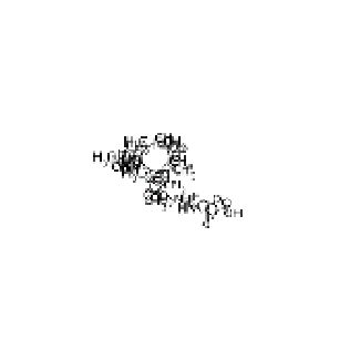 CC[C@H]1OC(=O)[C@H](C)[C@@H](OC2C[C@@](C)(OC)[C@@H](OCCNCCNc3cc4c(cc3F)c(=O)c(C(=O)O)cn4C3CC3)[C@H](C)O2)[C@H](C)[C@@H](O[C@@H]2O[C@H](C)C[C@H](N(C)C)[C@H]2O)[C@](C)(O)C[C@@H](C)CN(C)[C@H](C)[C@@H]2OC(=O)O[C@]12C